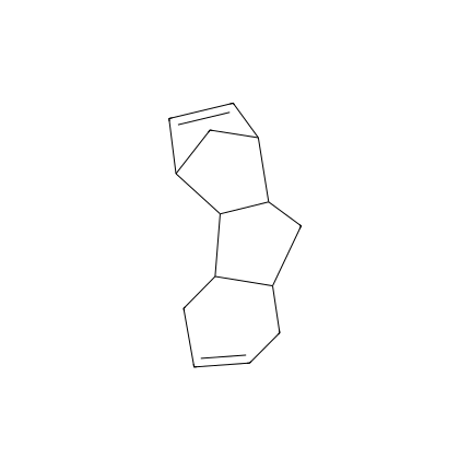 C1=CCC2C(C1)CC1C3C=CC(C3)C12